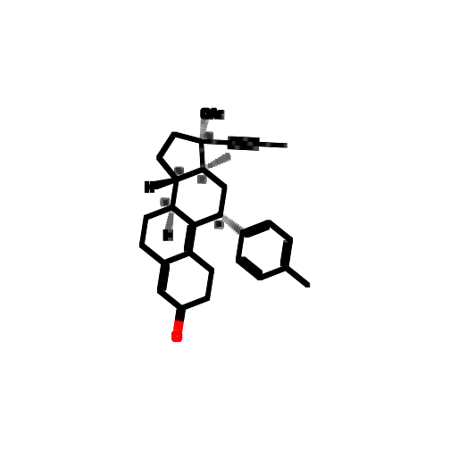 CC#C[C@]1(OC(C)=O)CC[C@H]2[C@@H]3CCC4=CC(=O)CCC4=C3[C@@H](c3ccc(C)cc3)C[C@@]21C